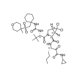 CCCC[C@H](NC(=O)[C@@H]1[C@@H]2[C@H](CN1C(=O)[C@@H](NC(=O)NC1(CS(=O)(=O)C3(C)CCOCC3)CCCCC1)C(C)(C)C)C2(Cl)Cl)C(=O)C(=O)NC1CC1